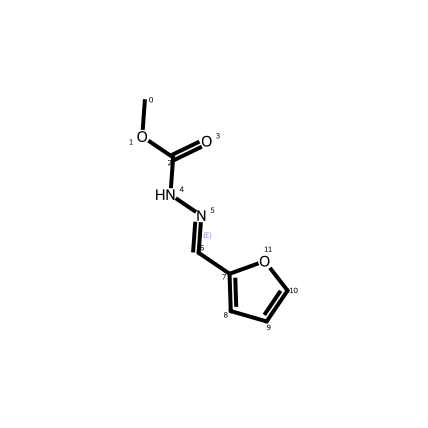 COC(=O)N/N=C/c1ccco1